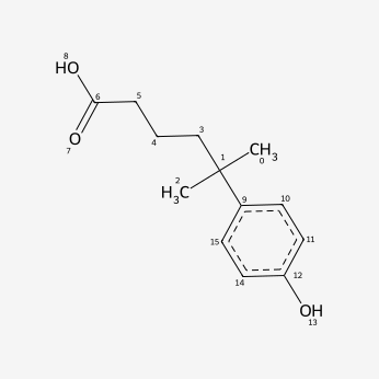 CC(C)(CCCC(=O)O)c1ccc(O)cc1